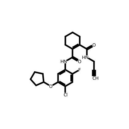 C#CCNC(=O)C1=C(C(=O)Nc2cc(OC3CCCC3)c(Cl)cc2F)CCCC1